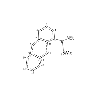 CCC(SC)c1cccc2cc3ccccc3cc12